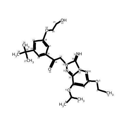 CCOc1cc(OC(C)C)c2nn(CC(=O)c3cc(OCCO)cc(C(C)(C)C)c3)c(=N)n2n1